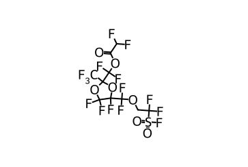 O=C(OC(F)(F)C1(C(F)(F)F)OC(F)(F)C(F)(C(F)(F)OCC(F)(F)S(=O)(=O)F)O1)C(F)F